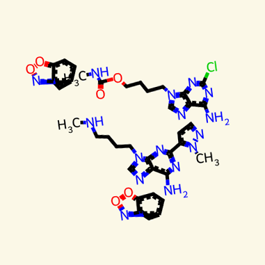 CNC(=O)OCCCCn1cnc2c(N)nc(Cl)nc21.CNCCCCn1cnc2c(N)nc(-c3ccnn3C)nc21.c1cc2cc3c1oon2-3.c1cc2cc3c1oon2-3